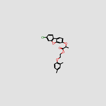 Cc1ccc(OCCOC(=O)C(C)Oc2ccc3c(c2)oc2cc(Cl)ccc23)c(C)c1